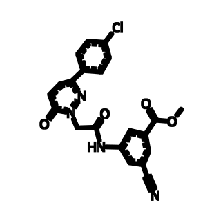 COC(=O)c1cc(C#N)cc(NC(=O)Cn2nc(-c3ccc(Cl)cc3)ccc2=O)c1